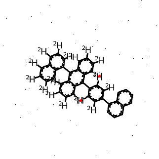 [2H]c1c([2H])c(-c2c3c([2H])c([2H])c([2H])c([2H])c3c(-c3c([2H])c([2H])c([2H])c4c([2H])c([2H])c([2H])c([2H])c34)c3c([2H])c([2H])c([2H])c([2H])c23)c([2H])c([2H])c1-c1cccc2ccccc12